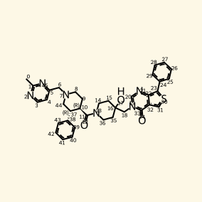 Cc1nccc(CN2CC[C@@H](C(=O)N3CCC(O)(Cn4cnc5c(-c6ccccc6)scc5c4=O)CC3)[C@H](c3ccccc3)C2)n1